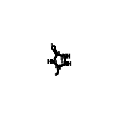 CN1NNC(=O)N1